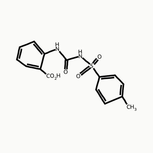 Cc1ccc(S(=O)(=O)NC(=O)Nc2ccccc2C(=O)O)cc1